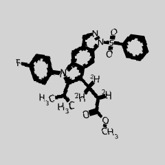 [2H]C(C(=O)OC)C([2H])([2H])c1c(C(C)C)n(-c2ccc(F)cc2)c2cc3cnn(S(=O)(=O)c4ccccc4)c3cc12